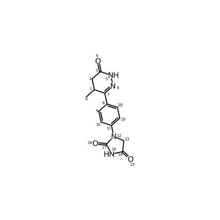 CC1CC(=O)NN=C1c1ccc(N2CC(=O)NC2=O)cc1